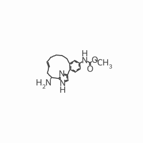 COC(=O)Nc1ccc2c(c1)CCCC/C=C/C[C@H](N)c1nc-2c[nH]1